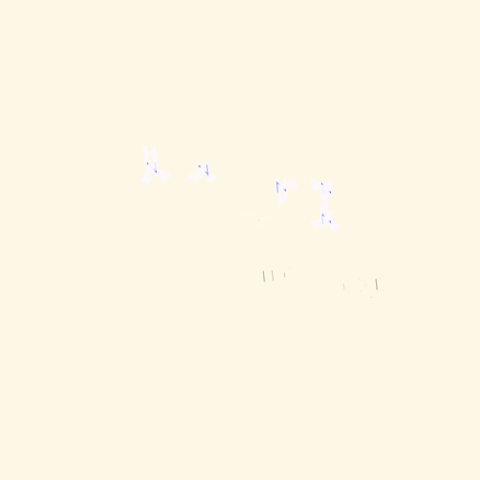 CCOC(=O)c1cn2ncnc(Oc3cnc4[nH]ccc4c3)c2c1C